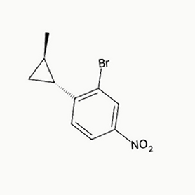 C[C@@H]1C[C@H]1c1ccc([N+](=O)[O-])cc1Br